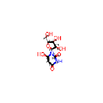 O=c1cc(O)n([C@@H]2O[C@H](CO)[C@@H](O)[C@H]2O)c(=O)[nH]1